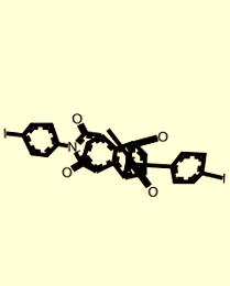 O=c1c2ccc(c(=O)n1-c1ccc(I)cc1)c1c3ccc(c(=O)n(-c4ccc(I)cc4)c3=O)c21